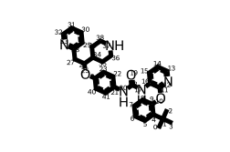 CC(C)(C)c1ccccc1Oc1ncccc1NC(=O)Nc1ccc(OC(Cc2ccccn2)C2CCNCC2)cc1